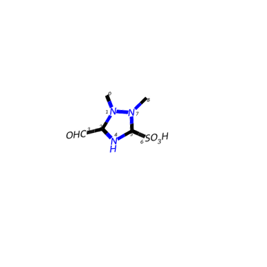 CN1C(C=O)NC(S(=O)(=O)O)N1C